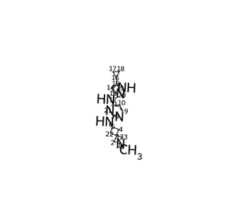 CN1CC2(CC(Nc3nccc(Nc4cc(C5CC5)[nH]n4)n3)C2)C1